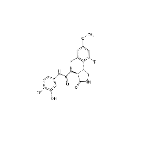 COc1cc(F)c([C@@H]2CNC(=O)[C@H]2NC(=O)Nc2ccc(Cl)c(O)c2)c(F)c1